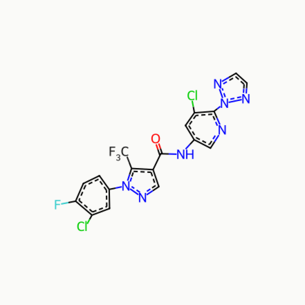 O=C(Nc1cnc(-n2nccn2)c(Cl)c1)c1cnn(-c2ccc(F)c(Cl)c2)c1C(F)(F)F